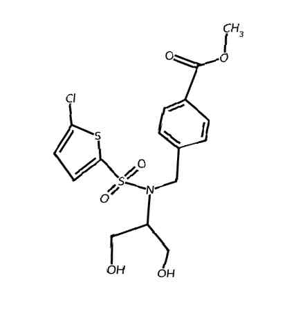 COC(=O)c1ccc(CN(C(CO)CO)S(=O)(=O)c2ccc(Cl)s2)cc1